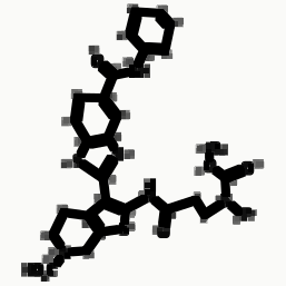 CC(C)N(CCC(=O)Nc1sc2c(c1-c1nc3cc(C(=O)Nc4ccccc4)ccc3s1)CCN(C(=O)O)C2)C(=O)OC(C)(C)C